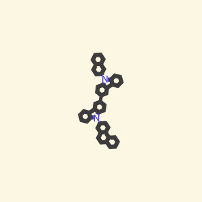 c1ccc2cc(-n3c4ccccc4c4cc(-c5ccc6c(c5)c5ccccc5n6-c5ccc6c(ccc7ccccc76)c5)ccc43)ccc2c1